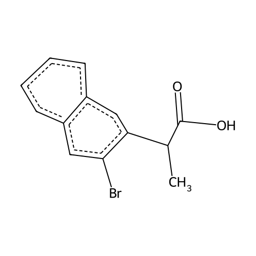 CC(C(=O)O)c1cc2ccccc2cc1Br